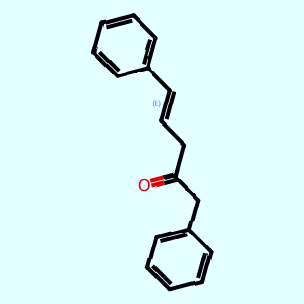 O=C(C/C=C/c1ccccc1)Cc1ccccc1